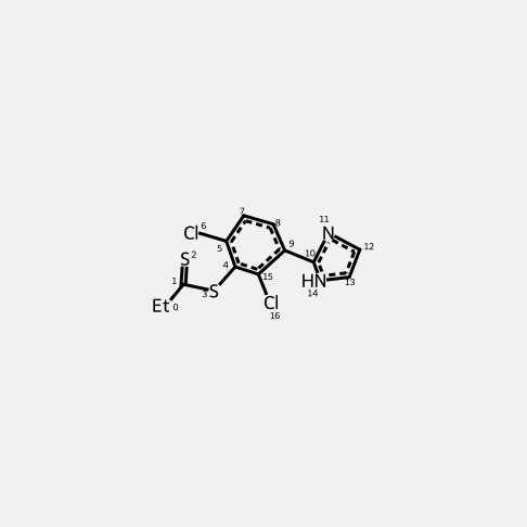 CCC(=S)Sc1c(Cl)ccc(-c2ncc[nH]2)c1Cl